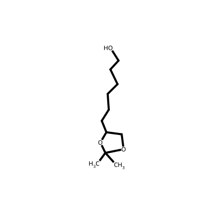 CC1(C)OCC(CCCCCCO)O1